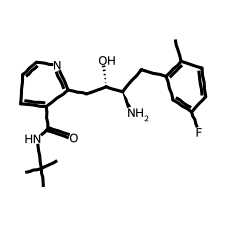 Cc1ccc(F)cc1C[C@@H](N)[C@@H](O)Cc1ncccc1C(=O)NC(C)(C)C